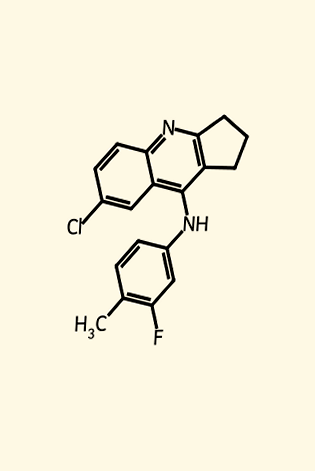 Cc1ccc(Nc2c3c(nc4ccc(Cl)cc24)CCC3)cc1F